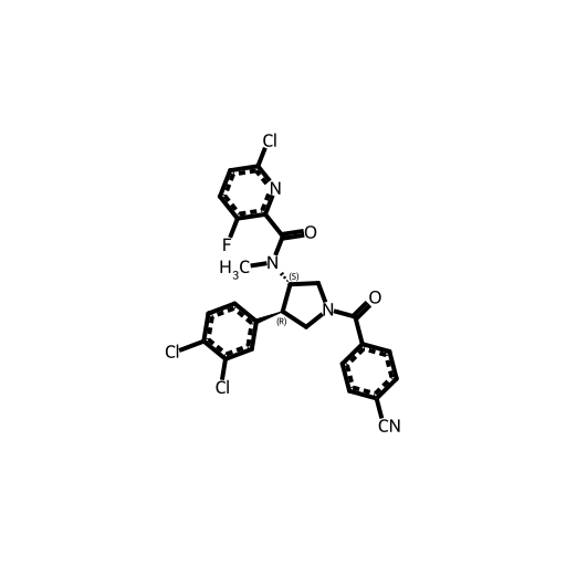 CN(C(=O)c1nc(Cl)ccc1F)[C@@H]1CN(C(=O)c2ccc(C#N)cc2)C[C@H]1c1ccc(Cl)c(Cl)c1